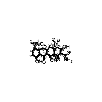 COC[C@@]12Cc3c(N(C)C)ccc(O)c3C(=O)C1=C(O)[C@]1(O)C(=O)C(C(N)=O)=C(O)[C@@H](N(C)C)[C@@H]1C2